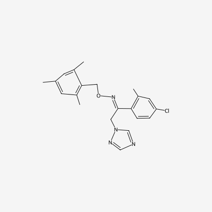 Cc1cc(C)c(CON=C(Cn2cncn2)c2ccc(Cl)cc2C)c(C)c1